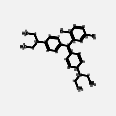 CCN(CC)c1ccc(C(=C2C=CC(N(CC)CC)C=C2)c2cc(Cl)ccc2Cl)cc1